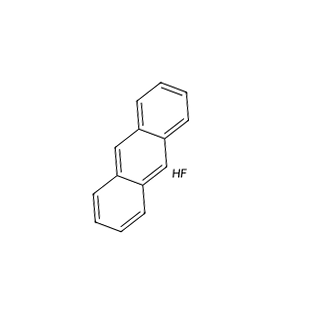 F.c1ccc2cc3ccccc3cc2c1